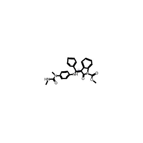 CNC(=O)N(C)c1ccc(N/C(=C2\C(=O)N(C(=O)OC)c3ccccc32)c2ccccc2)cc1